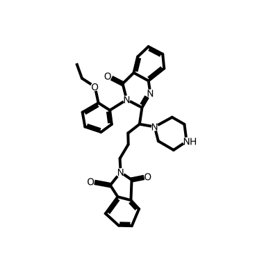 CCOc1ccccc1-n1c(C(CCCN2C(=O)c3ccccc3C2=O)N2CCNCC2)nc2ccccc2c1=O